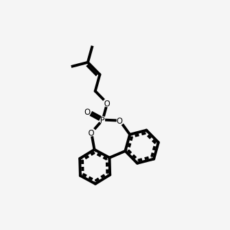 CC(C)=CCOP1(=O)Oc2ccccc2-c2ccccc2O1